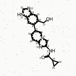 O=C(Nc1cn2cc(-c3cc4[nH]cnc4cc3CO)ccc2n1)C1CC1